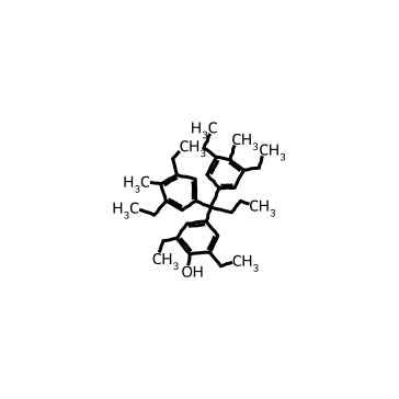 CCCC(c1cc(CC)c(C)c(CC)c1)(c1cc(CC)c(C)c(CC)c1)c1cc(CC)c(O)c(CC)c1